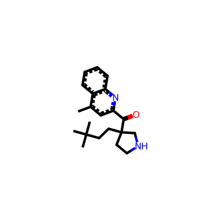 Cc1cc(C(=O)C2(CCC(C)(C)C)CCNC2)nc2ccccc12